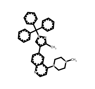 Cc1nn(C(c2ccccc2)(c2ccccc2)c2ccccc2)cc1-c1ccc2nccc(N3CCN(C)CC3)c2c1